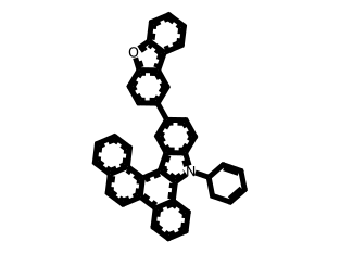 C1=CCC(n2c3ccc(-c4ccc5oc6ccccc6c5c4)cc3c3c4c5ccccc5ccc4c4ccccc4c32)C=C1